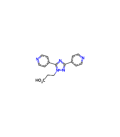 O=C(O)CCn1nc(-c2ccncc2)nc1-c1ccncc1